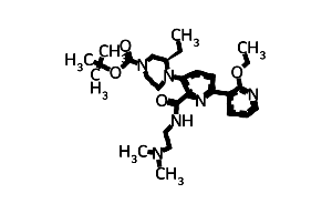 CCOc1ncccc1-c1ccc(N2CCN(C(=O)OC(C)(C)C)C[C@H]2CC)c(C(=O)NCCN(C)C)n1